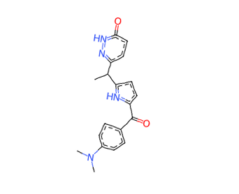 CC(c1ccc(=O)[nH]n1)c1ccc(C(=O)c2ccc(N(C)C)cc2)[nH]1